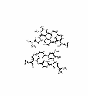 CN(C)C1CCN(c2ccc(Nc3c(C(=O)C4CC4)cnc4ccc(-c5cc(Cl)c(O)c(Cl)c5)cc34)cn2)C1.COc1cc(-c2ccc3ncc(C(=O)C4CC4)c(Nc4ccc(N5CCC(N(C)C)C5)nc4)c3c2)cc(Cl)c1O